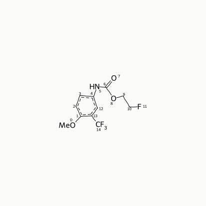 COc1ccc(NC(=O)OCCF)cc1C(F)(F)F